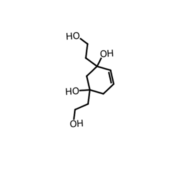 OCCC1(O)C=CCC(O)(CCO)C1